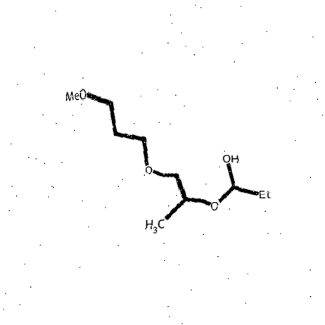 CCC(O)OC(C)COCCCOC